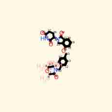 BC1OC(B)(B)C(B)(B)N(Cc2ccc(COc3cccc4c3CN(C3CCC(=O)NC3=O)C4=O)cc2)C1=O